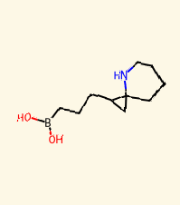 OB(O)CCCC1CC12CCCCN2